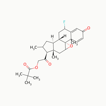 CC1C[C@H]2[C@@H]3CC(F)C4=CC(=O)C=C[C@]4(C)[C@]34OC4C[C@]2(C)[C@H]1C(=O)COC(=O)C(C)(C)C